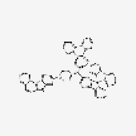 c1ccc2c(c1)-c1ccccc1C21c2ccccc2-c2ccc(N(c3ccc(-c4ccc5c(c4)sc4ccc6ccccc6c45)cc3)c3ccc4c5ccccc5c5ccccc5c4c3)cc21